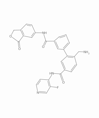 NCc1ccc(C(=O)Nc2ccncc2F)cc1-c1cccc(C(=O)Nc2ccc3c(c2)C(=O)OC3)c1